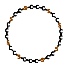 C1CSCCSCCCSCCSCCCSCCSCCCSCCSC1